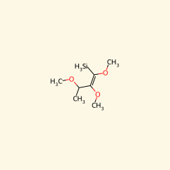 COC([SiH3])=C(OC)C(C)OC